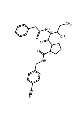 CCC(C)[C@H](NC(=O)Cc1ccccc1)C(=O)N1CCC[C@H]1C(=O)NCc1ccc(C#N)cc1